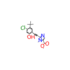 COC(=O)c1cnc(C#Cc2cc(C(C)(C)C)c(Cl)cc2O)n1C